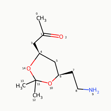 CC(=O)C[C@H]1C[C@@H](CCN)OC(C)(C)O1